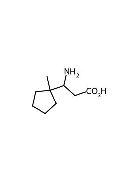 CC1(C(N)CC(=O)O)CCCC1